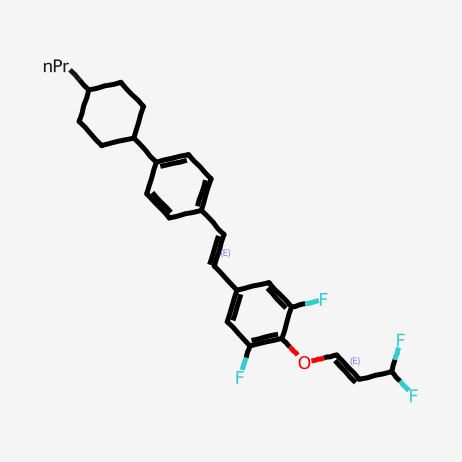 CCCC1CCC(c2ccc(/C=C/c3cc(F)c(O/C=C/C(F)F)c(F)c3)cc2)CC1